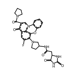 O=C(CC1NC(=O)NC1=O)NC1CCN(c2c(F)cc3c(=O)c(C(=O)N4CCCC4)cn4c3c2Oc2ccccc2-4)C1